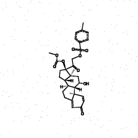 COC(=O)O[C@]1(C(=O)COS(=O)(=O)c2ccc(C)cc2)CC[C@H]2[C@@H]3CCC4=CC(=O)C=C[C@]4(C)[C@H]3C(O)C[C@@]21C